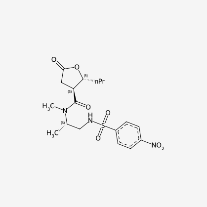 CCC[C@H]1OC(=O)C[C@@H]1C(=O)N(C)[C@@H](C)CNS(=O)(=O)c1ccc([N+](=O)[O-])cc1